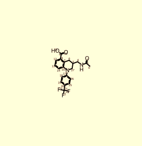 CC(=O)NCC1Cc2c(C(=O)O)cccc2N(c2ccc(C(F)(F)F)cc2)C1